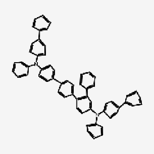 c1ccc(-c2ccc(N(c3ccccc3)c3ccc(-c4ccc(-c5ccc(N(c6ccccc6)c6ccc(-c7ccccc7)cc6)cc5-c5ccccc5)cc4)cc3)cc2)cc1